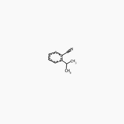 CC(C)c1ccc[c]c1C#N